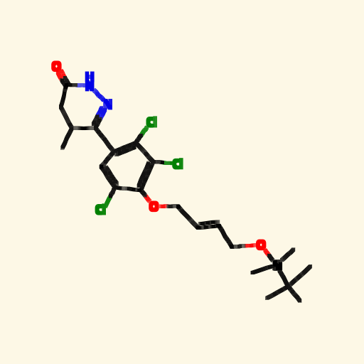 CC1CC(=O)NN=C1c1cc(Cl)c(OCC=CCO[Si](C)(C)C(C)(C)C)c(Cl)c1Cl